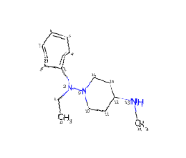 CCN(c1ccccc1)N1CCC(NC)CC1